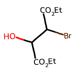 CCOC(=O)C(O)C(Br)C(=O)OCC